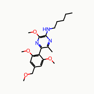 CCCCCNc1nc(C)c(-c2c(OC)cc(COC)cc2OC)nc1OC